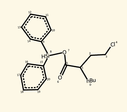 CCCCC(CCCl)C(=O)O[SiH](c1ccccc1)c1ccccc1